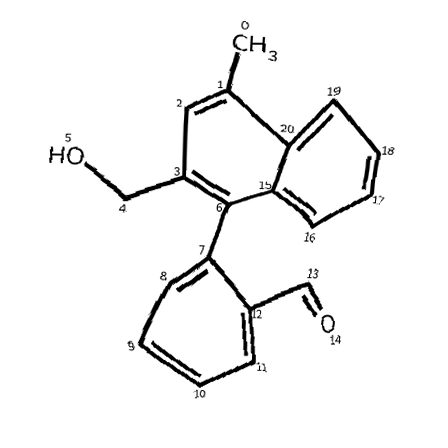 Cc1cc(CO)c(-c2ccccc2C=O)c2ccccc12